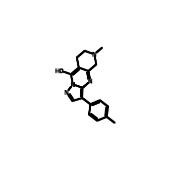 Cc1ccc(-c2cnn3c(O)c4c(nc23)CN(C)CC4)cc1